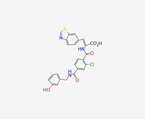 O=C(O)C(=Cc1ccc2ncsc2c1)NC(=O)c1ccc(C(=O)NCc2cccc(O)c2)cc1Cl